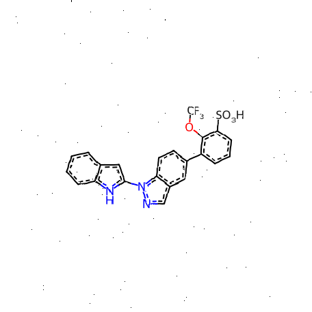 O=S(=O)(O)c1cccc(-c2ccc3c(cnn3-c3cc4ccccc4[nH]3)c2)c1OC(F)(F)F